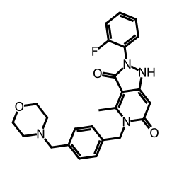 Cc1c2c(=O)n(-c3ccccc3F)[nH]c2cc(=O)n1Cc1ccc(CN2CCOCC2)cc1